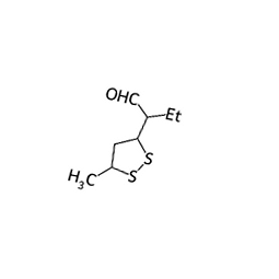 CCC(C=O)C1CC(C)SS1